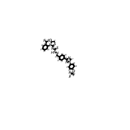 O=C1CS/C(=N\C(=S)N/N=C/c2ccc(-c3ncn(-c4ccc(OC(F)(F)F)cc4)n3)cc2)N1c1ccccc1C(F)F